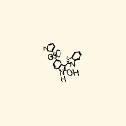 O=S(=O)(c1cccnc1)c1ccc2[nH]c(O)c(-c3nc4ccccc4s3)c2c1